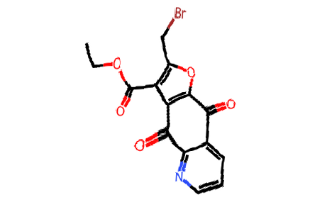 CCOC(=O)c1c(CBr)oc2c1C(=O)c1ncccc1C2=O